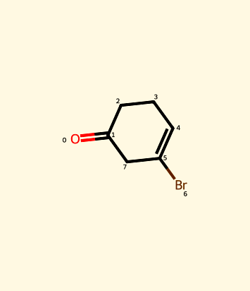 O=C1CCC=C(Br)C1